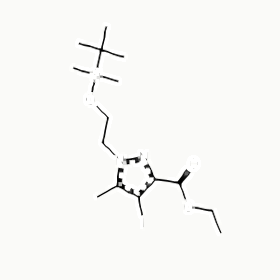 CCOC(=O)c1nn(CCO[Si](C)(C)C(C)(C)C)c(C)c1I